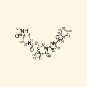 CNC(=O)C1CCN(C(=O)CCCN(C(=O)c2cccs2)c2nc(-c3cc4ccccc4o3)cs2)CC1